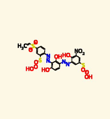 C=CS(=O)(=O)c1ccc(/N=N/c2c(O)ccc(/N=N/c3cc(SOOO)cc([N+](=O)[O-])c3O)c2O)c(SOOO)c1